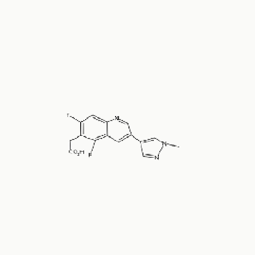 Cn1cc(-c2cnc3cc(F)c(CC(=O)O)c(F)c3c2)cn1